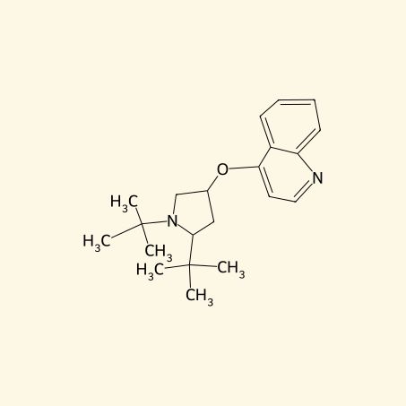 CC(C)(C)C1CC(Oc2ccnc3ccccc23)CN1C(C)(C)C